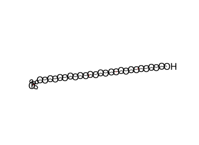 O=P(c1ccccc1)(c1ccccc1)c1ccc(OCCOCCOCCOCCOCCOCCOCCOCCOCCOCCOCCOCCOCCOCCOCCOCCOCCOCCOCCOCCOCCOCCOCCOCCOCCO)cc1